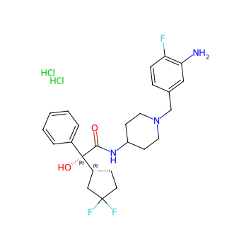 Cl.Cl.Nc1cc(CN2CCC(NC(=O)[C@](O)(c3ccccc3)[C@@H]3CCC(F)(F)C3)CC2)ccc1F